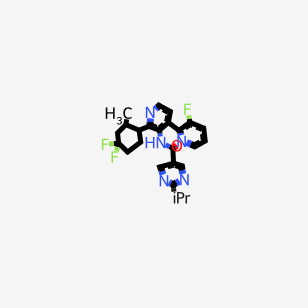 CC(C)c1ncc(C(=O)Nc2c(-c3ncccc3F)ccnc2C2CCC(F)(F)CC2C)cn1